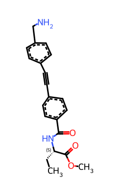 CC[C@H](NC(=O)c1ccc(C#Cc2ccc(CN)cc2)cc1)C(=O)OC